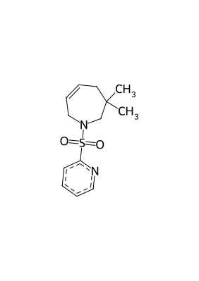 CC1(C)CC=CCN(S(=O)(=O)c2ccccn2)C1